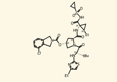 CCc1csc(N[C@H](C(=O)N2C[C@H](OC(=O)N3Cc4cccc(Cl)c4C3)C[C@H]2C(=O)N[C@]2(C(=O)NS(=O)(=O)C3CC3)C[C@H]2CC)C(C)(C)C)n1